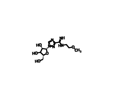 COCCNC(=N)c1ncn([C@@H]2O[C@H](CO)C(O)[C@@H]2O)n1